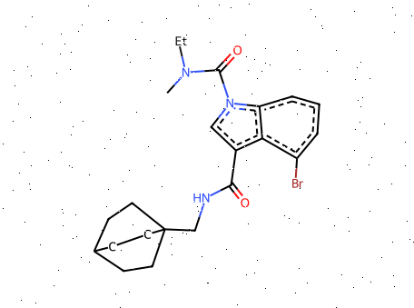 CCN(C)C(=O)n1cc(C(=O)NCC23CCC(CC2)CC3)c2c(Br)cccc21